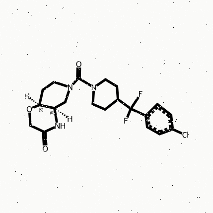 O=C1CO[C@H]2CCN(C(=O)N3CCC(C(F)(F)c4ccc(Cl)cc4)CC3)C[C@H]2N1